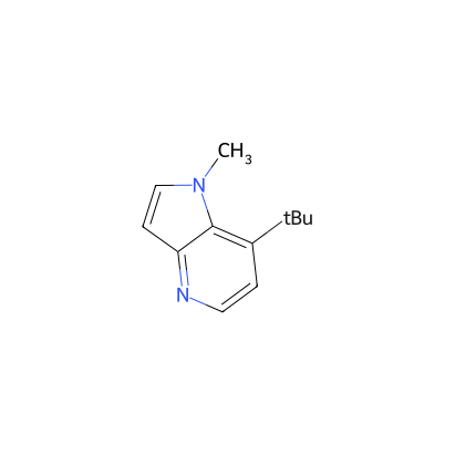 Cn1ccc2nccc(C(C)(C)C)c21